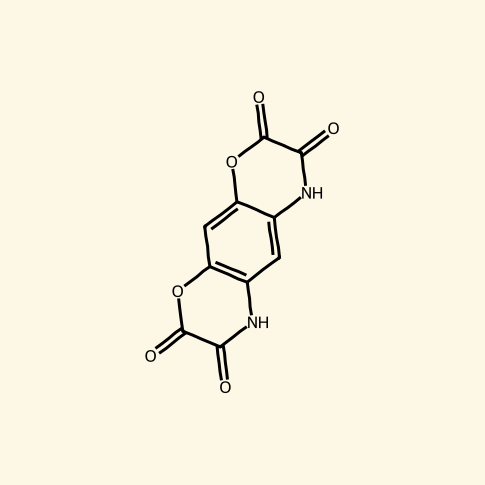 O=c1[nH]c2cc3[nH]c(=O)c(=O)oc3cc2oc1=O